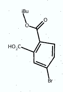 CCC(C)OC(=O)c1ccc(Br)cc1C(=O)O